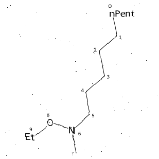 CCCCCCCCCCN(C)OCC